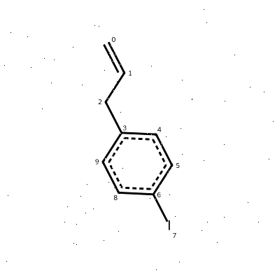 C=CCc1ccc(I)cc1